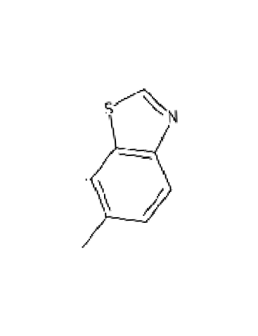 Cc1[c]c2scnc2cc1